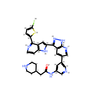 O=C(CC1CCNCC1)Nc1cncc(-c2cnc3[nH]nc(-c4cc5c(-c6ccc(F)s6)nccc5[nH]4)c3c2)c1